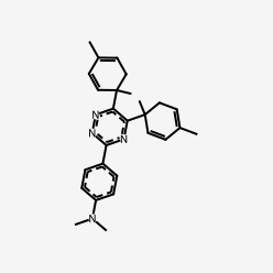 CC1=CCC(C)(c2nnc(-c3ccc(N(C)C)cc3)nc2C2(C)C=CC(C)=CC2)C=C1